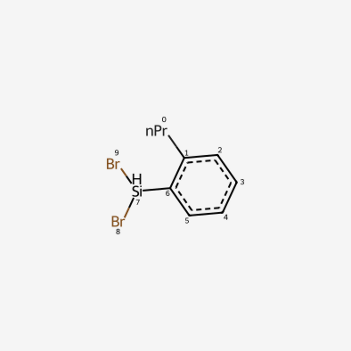 CCCc1ccccc1[SiH](Br)Br